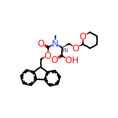 CN(C(=O)OCC1c2ccccc2-c2ccccc21)[C@@H](COC1CCCCO1)C(=O)O